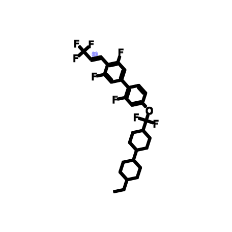 CCC1CCC(C2CCC(C(F)(F)Oc3ccc(-c4cc(F)c(/C=C/C(F)(F)F)c(F)c4)c(F)c3)CC2)CC1